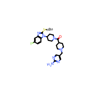 CCCCSc1nc2cc(F)ccc2n1C1CCN(C(=O)C2CCN(Cc3cnc(N)nc3)CC2)CC1